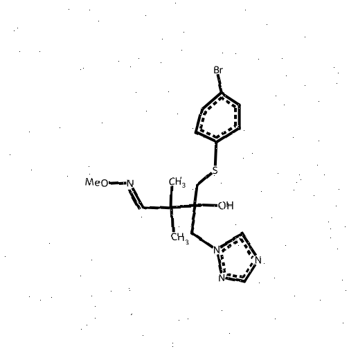 CON=CC(C)(C)C(O)(CSc1ccc(Br)cc1)Cn1cncn1